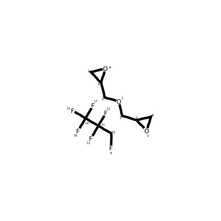 C(OCC1CO1)C1CO1.FCC(F)(F)C(F)(F)F